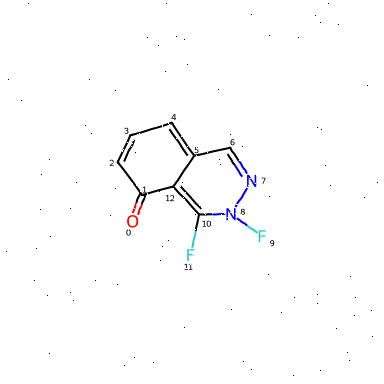 O=c1cccc2cnn(F)c(F)c1-2